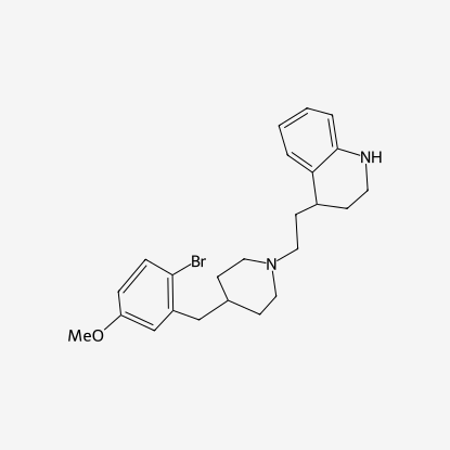 COc1ccc(Br)c(CC2CCN(CCC3CCNc4ccccc43)CC2)c1